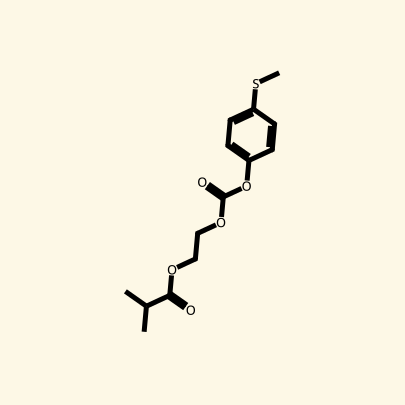 CSc1ccc(OC(=O)OCCOC(=O)C(C)C)cc1